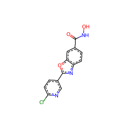 O=C(NO)c1ccc2nc(-c3ccc(Cl)nc3)oc2c1